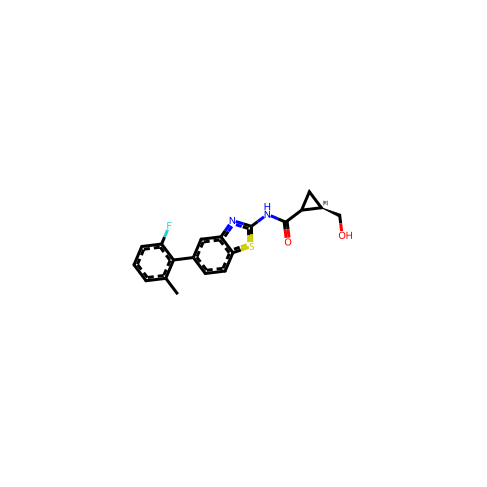 Cc1cccc(F)c1-c1ccc2sc(NC(=O)C3C[C@H]3CO)nc2c1